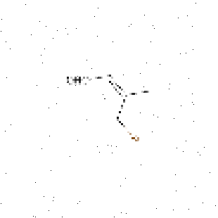 CC(=CC=O)CBr